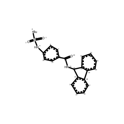 CC(C)(C)S(=O)(=O)Nc1ccc(C(=O)NC2c3ccccc3-c3ccccc32)cc1